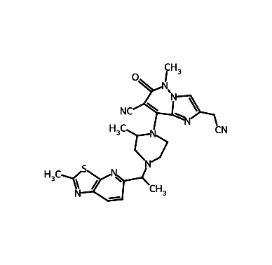 Cc1nc2ccc(C(C)N3CCN(c4c(C#N)c(=O)n(C)n5cc(CC#N)nc45)C(C)C3)nc2s1